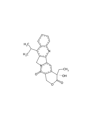 CC[C@@]1(O)C(=O)OCc2c1cc1n(c2=O)Cc2c-1nc1ccccc1c2C(C)C